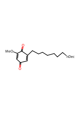 CCCCCCCCCCCCCCCCCC1=CC(=O)C=C(OC)C1=O